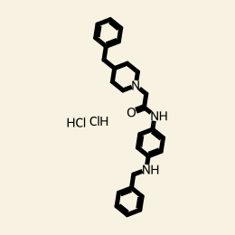 Cl.Cl.O=C(CN1CCC(Cc2ccccc2)CC1)Nc1ccc(NCc2ccccc2)cc1